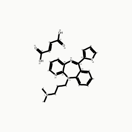 CN(C)CCCN1c2ccccc2C(c2cccs2)=Nc2cccnc21.O=C(O)C=CC(=O)O